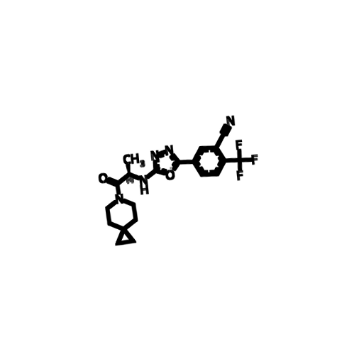 C[C@@H](Nc1nnc(-c2ccc(C(F)(F)F)c(C#N)c2)o1)C(=O)N1CCC2(CC1)CC2